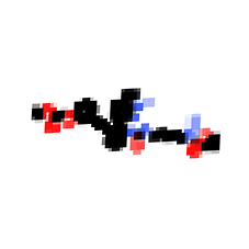 CCOC(=O)COc1cccc(C#Cc2cccc(NC(=O)NCCCCCNC(=O)OC(C)(C)C)c2-c2ccc3cc[nH]c3c2)c1